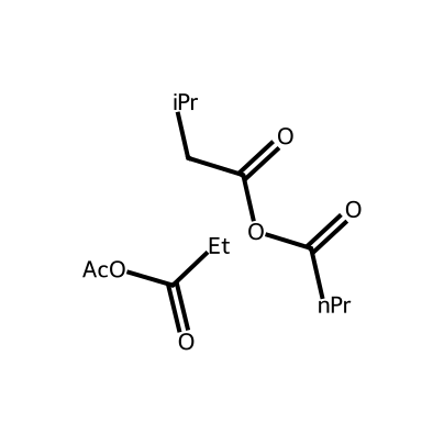 CCC(=O)OC(C)=O.CCCC(=O)OC(=O)CC(C)C